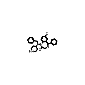 O=C1CN=C(c2ccccc2)c2cc(Cl)ccc2N1N(Cc1ccccc1)C1CCNCC1